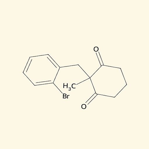 CC1(Cc2ccccc2Br)C(=O)CCCC1=O